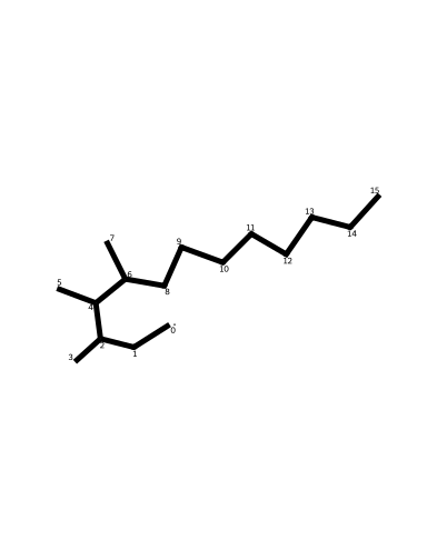 [CH2]CC(C)C(C)C(C)CCCCCCCC